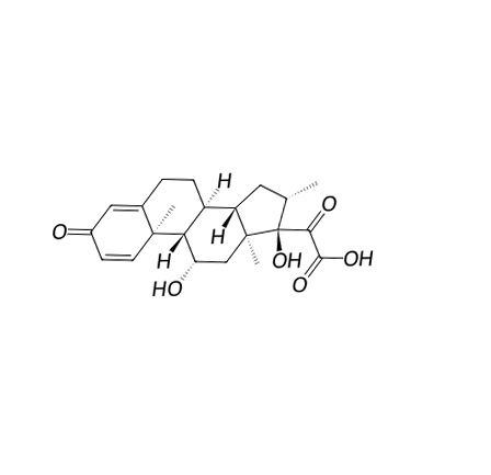 C[C@H]1C[C@H]2[C@@H]3CCC4=CC(=O)C=C[C@]4(C)[C@H]3[C@@H](O)C[C@]2(C)[C@@]1(O)C(=O)C(=O)O